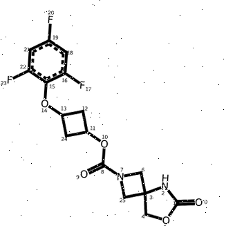 O=C1NC2(CO1)CN(C(=O)OC1CC(Oc3c(F)cc(F)cc3F)C1)C2